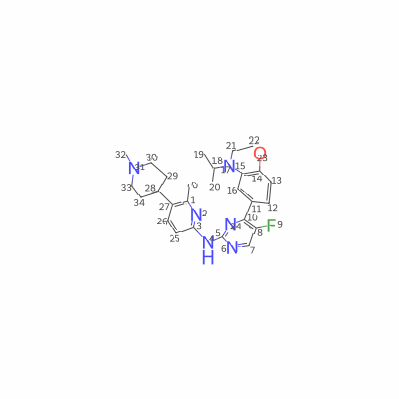 Cc1nc(Nc2ncc(F)c(-c3ccc4c(c3)N(C(C)C)CCO4)n2)ccc1C1CCN(C)CC1